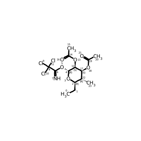 CC[C@H]1O[C@H](OC(=N)C(Cl)(Cl)Cl)[C@@H](OC(C)=O)[C@@H](OC(C)=O)[C@@H]1C